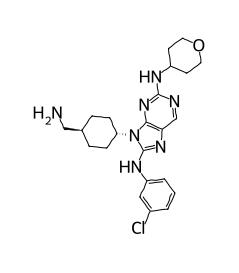 NC[C@H]1CC[C@H](n2c(Nc3cccc(Cl)c3)nc3cnc(NC4CCOCC4)nc32)CC1